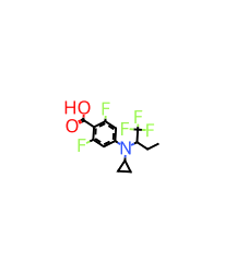 CCC(N(c1cc(F)c(C(=O)O)c(F)c1)C1CC1)C(F)(F)F